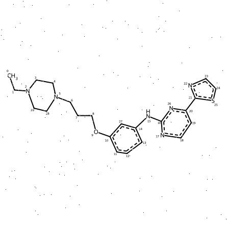 CCN1CCN(CCCOc2cccc(Nc3nccc(-c4nccs4)n3)c2)CC1